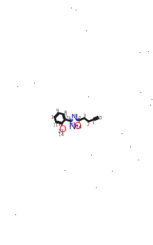 C#CCCc1nc(-c2ccccc2OC)no1